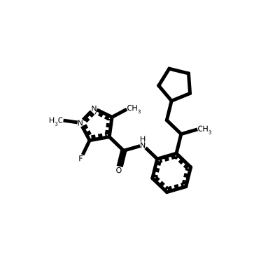 Cc1nn(C)c(F)c1C(=O)Nc1ccccc1C(C)CC1CCCC1